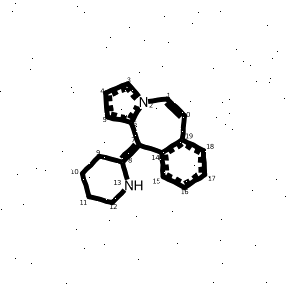 C1=Cn2cccc2C(=C2CCCCN2)c2ccccc21